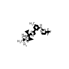 Cc1cc(Nc2nccc(C(F)(F)F)n2)cc(-c2cnc(C(N[S+]([O-])C(C)(C)C)(C3CC3)C3CC3)s2)c1